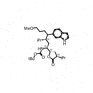 COCCCC(c1ccc2cc[nH]c2c1)[C@@H](C[C@H](NC(=O)OC(C)(C)C)[C@@H]1C[C@@H](C(C)C)C(=O)O1)C(C)C